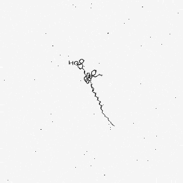 CCCCCCCCCC=CC=CC=CC=CC=CC=CC(=O)N(OC(=O)C=Cc1ccc(O)c(OC)c1)C(=O)CCC